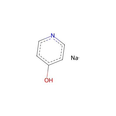 Oc1ccncc1.[Na]